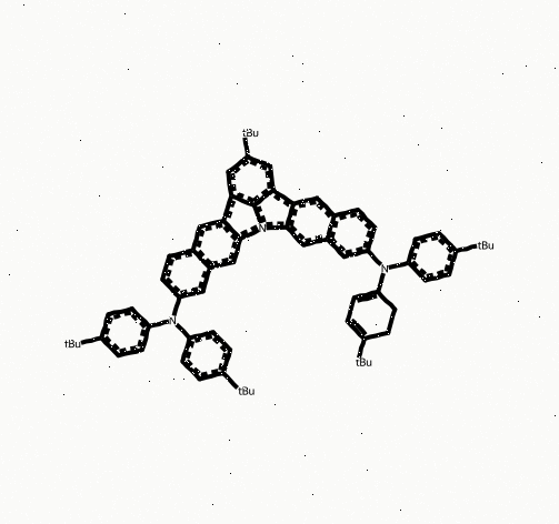 CC(C)(C)C1=CC=C(N(c2ccc(C(C)(C)C)cc2)c2ccc3cc4c5cc(C(C)(C)C)cc6c7cc8ccc(N(c9ccc(C(C)(C)C)cc9)c9ccc(C(C)(C)C)cc9)cc8cc7n(c4cc3c2)c56)CC1